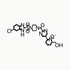 O=C(c1ncc(-c2cccc(CO)[n+]2[O-])cn1)N1CCN(S(=O)(=O)c2nc3ccc(Cl)cc3[nH]2)CC1